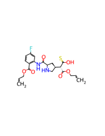 C=CCOC(=O)c1ccc(F)cc1NC(=O)C1C[C@@H]([C@@H](C(=O)OCC=C)C(O)=S)CN1